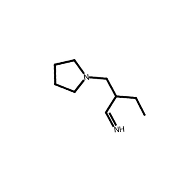 CCC(C=N)CN1CCCC1